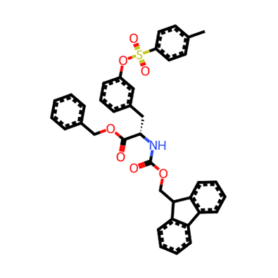 Cc1ccc(S(=O)(=O)Oc2cccc(C[C@H](NC(=O)OCC3c4ccccc4-c4ccccc43)C(=O)OCc3ccccc3)c2)cc1